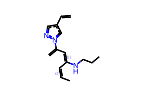 C=Cc1cnn(C(=C)/C=C(\C=C/C)NCCC)c1